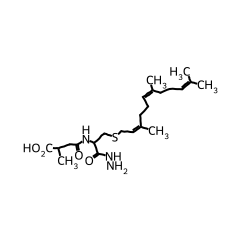 CC(C)=CCCC(C)=CCCC(C)=CCSCC(NC(=O)CC(C)C(=O)O)C(=O)NN